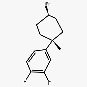 CC(C)[C@H]1CC[C@](C)(c2ccc(F)c(F)c2)CC1